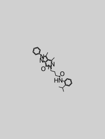 Cc1nn(CCCC(=O)Nc2ccccc2C(C)C)c(=O)c2nn(-c3ccccc3)c(C)c12